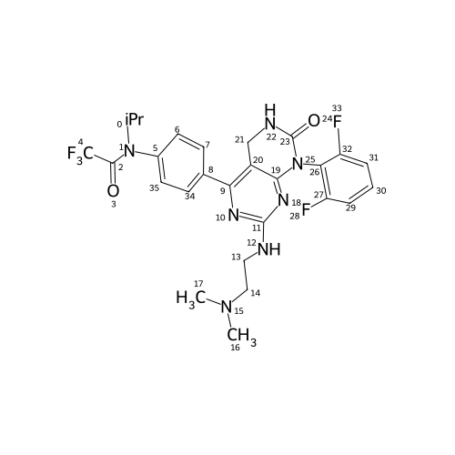 CC(C)N(C(=O)C(F)(F)F)c1ccc(-c2nc(NCCN(C)C)nc3c2CNC(=O)N3c2c(F)cccc2F)cc1